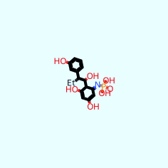 CCC(c1cccc(O)c1)C(O)C1C(O)=CC(O)=C/C1=N\P(=O)(O)O